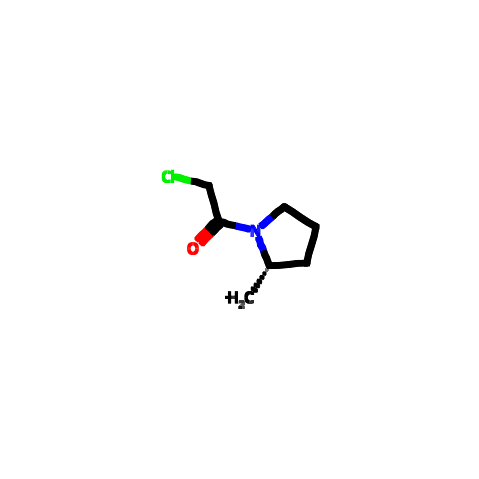 [CH2][C@H]1CCCN1C(=O)CCl